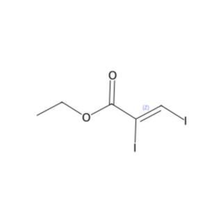 CCOC(=O)/C(I)=C/I